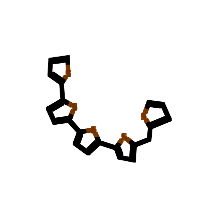 c1csc(Cc2ccc(-c3ccc(-c4ccc(-c5cccs5)s4)s3)s2)c1